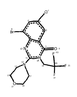 O=c1c2cc(Cl)cc(Br)c2nc(N2CCOCC2)n1CC(F)(F)F